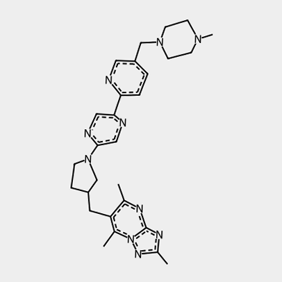 Cc1nc2nc(C)c(CC3CCN(c4cnc(-c5ccc(CN6CCN(C)CC6)cn5)cn4)C3)c(C)n2n1